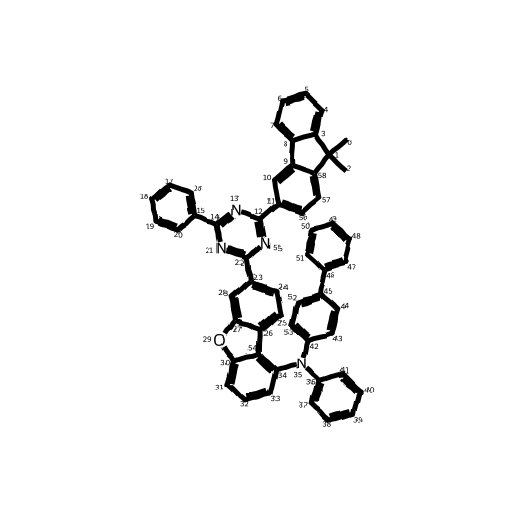 CC1(C)c2ccccc2-c2cc(-c3nc(-c4ccccc4)nc(-c4ccc5c(c4)oc4cccc(N(c6ccccc6)c6ccc(-c7ccccc7)cc6)c45)n3)ccc21